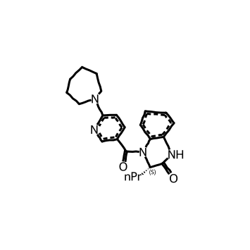 CCC[C@H]1C(=O)Nc2ccccc2N1C(=O)c1ccc(N2CCCCCC2)nc1